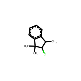 CC1c2ccccc2C(C)(C)C1Cl